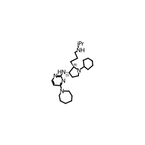 CC(C)NCCC[C@@H]1[C@@H](Nc2nccc(N3CCCCCC3)n2)CCN1C1CCCCC1